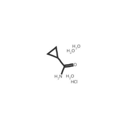 Cl.NC(=O)C1CC1.O.O.O